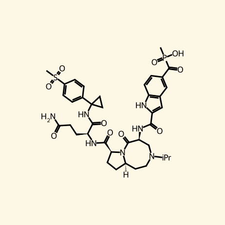 CC(C)N1CC[C@H]2CC[C@@H](C(=O)N[C@@H](CCC(N)=O)C(=O)NC3(c4ccc(S(C)(=O)=O)cc4)CC3)N2C(=O)[C@@H](NC(=O)c2cc3cc(C(=O)P(C)(=O)O)ccc3[nH]2)C1